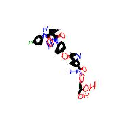 O=C(NOC[C@@H](O)CO)c1ccc2c(Oc3ccc(NC(=O)C4(C(=O)Nc5ccc(F)cc5)CC4)cc3)ccnc2c1